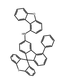 c1ccc(-c2cccc3c2-c2cc(Nc4cccc5oc6ccccc6c45)ccc2C32c3ccccc3Sc3ccccc32)cc1